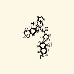 O=C(N[C@H](CN1CCCC1)[C@H](O)c1ccc2c(c1)OCCO2)[C@H]1CCN(c2ccc3cc(F)ccc3c2Cl)C1